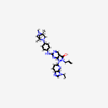 C=CCn1c(=O)c2cnc(Nc3ccc(N4C[C@@H]5C[C@H]4CN5C)cc3)nc2n1-c1ccc2ncn(CC)c2n1